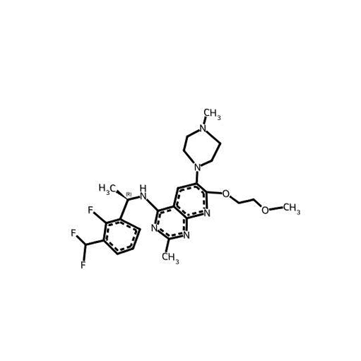 COCCOc1nc2nc(C)nc(N[C@H](C)c3cccc(C(F)F)c3F)c2cc1N1CCN(C)CC1